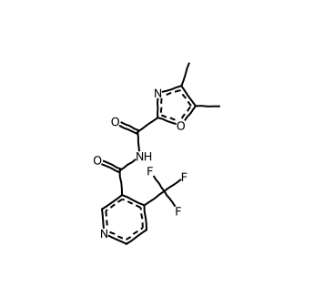 Cc1nc(C(=O)NC(=O)c2cnccc2C(F)(F)F)oc1C